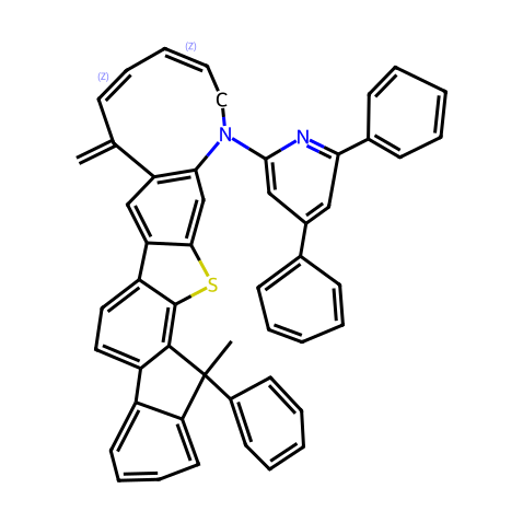 C=C1/C=C\C=C/CN(c2cc(-c3ccccc3)cc(-c3ccccc3)n2)c2cc3sc4c5c(ccc4c3cc21)-c1ccccc1C5(C)c1ccccc1